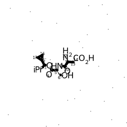 CC(C)C(OC(=O)[C@@H](CO)NC(=O)[C@@H](N)CC(=O)O)C1CC1